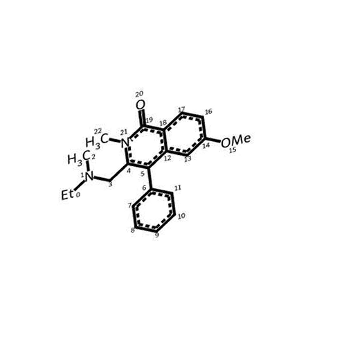 CCN(C)Cc1c(-c2ccccc2)c2cc(OC)ccc2c(=O)n1C